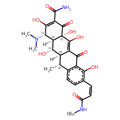 C[C@H]1c2ccc(/C=C\C(=O)NC(C)(C)C)c(O)c2C(=O)C2=C(O)[C@]3(O)C(=O)C(C(N)=O)=C(O)[C@@H](N(C)C)[C@@H]3[C@@H](O)[C@@H]21